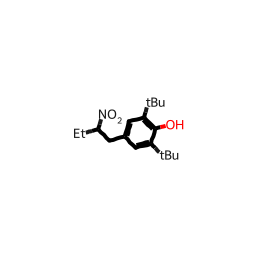 CCC(Cc1cc(C(C)(C)C)c(O)c(C(C)(C)C)c1)[N+](=O)[O-]